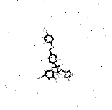 Nc1ccc(OCc2ccc(C(F)(F)C(O)(Cn3cnnn3)c3ccc(F)cc3F)nc2)nc1